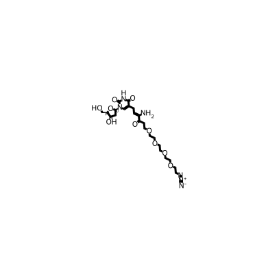 [N-]=[N+]=NCCOCCOCCOCCOCCC(=O)C(N)=CCc1cn([C@H]2C[C@H](O)[C@@H](CO)O2)c(=O)[nH]c1=O